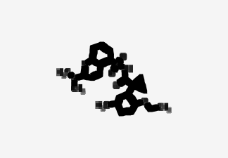 CCOc1ccc(C)cc1C1(C(=O)NS(=O)(=O)c2cccc3nc(N(C)C)ccc23)CC1